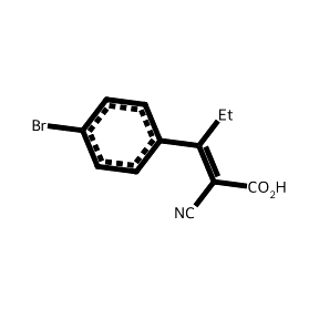 CC/C(=C(/C#N)C(=O)O)c1ccc(Br)cc1